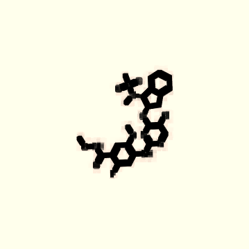 CONC(=O)c1cc(OC)c(Nc2ncc(Cl)c(O[C@@H]3Cc4ccccc4[C@H]3N(C)S(C)(=O)=O)n2)cc1F